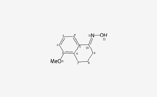 COc1cccc2c1CCC/C2=N\O